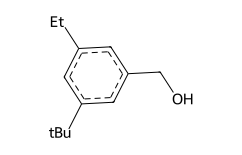 CCc1cc(CO)cc(C(C)(C)C)c1